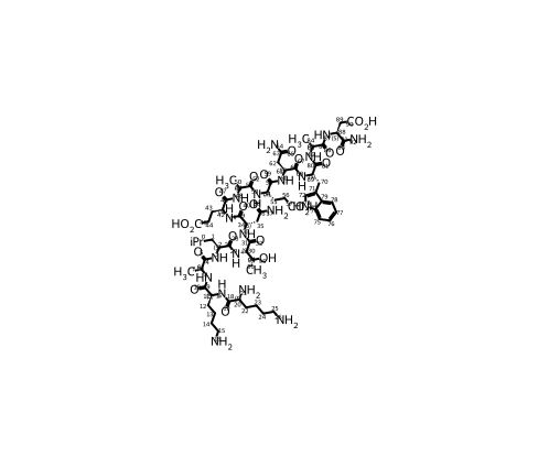 CC(C)C[C@H](NC(=O)[C@H](C)NC(=O)[C@H](CCCCN)NC(=O)[C@@H](N)CCCCN)C(=O)N[C@H](C(=O)N[C@@H](CC(N)=O)C(=O)N[C@@H](CCC(=O)O)C(=O)N[C@@H](C)C(=O)N[C@@H](CCC(=O)O)C(=O)N[C@@H](CC(N)=O)C(=O)N[C@@H](Cc1c[nH]c2ccccc12)C(=O)N[C@@H](C)C(=O)N[C@@H](CC(=O)O)C(N)=O)[C@@H](C)O